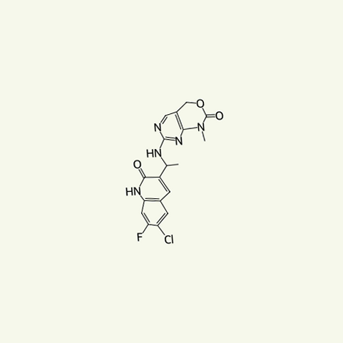 CC(Nc1ncc2c(n1)N(C)C(=O)OC2)c1cc2cc(Cl)c(F)cc2[nH]c1=O